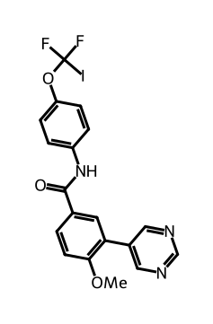 COc1ccc(C(=O)Nc2ccc(OC(F)(F)I)cc2)cc1-c1cncnc1